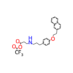 O=C(CCNCCCc1ccc(OCCc2ccc3ccccc3c2)cc1)OC(=O)C(F)(F)F